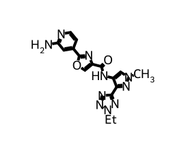 CCn1nnc(-c2nn(C)cc2NC(=O)c2coc(-c3ccnc(N)c3)n2)n1